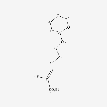 CCOC(=O)/C(F)=C/CCCOC1CCCCO1